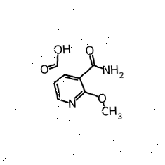 COc1ncccc1C(N)=O.O=CO